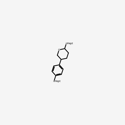 CCCCCCCc1ccc(C2CCC(CCCCCCC)OC2)cc1